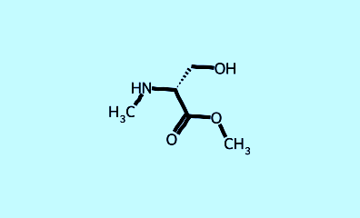 CN[C@H](CO)C(=O)OC